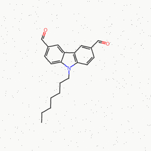 CCCCCCCn1c2ccc(C=O)cc2c2cc(C=O)ccc21